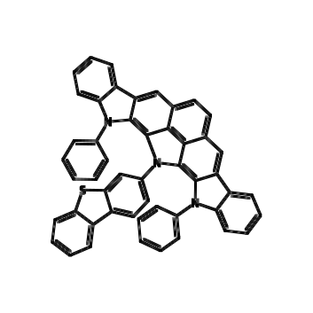 c1ccc(-n2c3ccccc3c3cc4ccc5cc6c7ccccc7n(-c7ccccc7)c6c6c5c4c(c32)n6-c2ccc3c(c2)sc2ccccc23)cc1